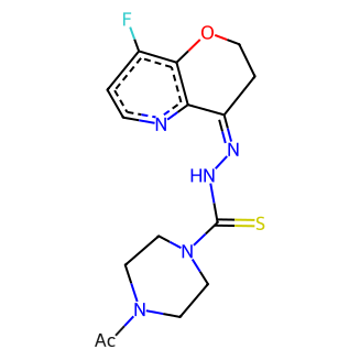 CC(=O)N1CCN(C(=S)N/N=C2/CCOc3c(F)ccnc32)CC1